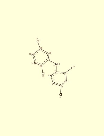 Fc1cc(Cl)cnc1Nc1cc(Cl)nnc1Cl